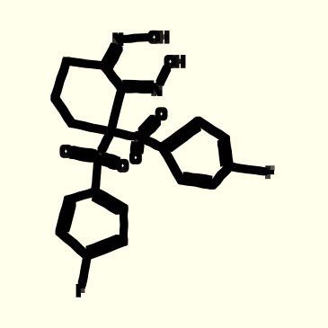 O=S(=O)(c1ccc(F)cc1)C1(S(=O)(=O)c2ccc(F)cc2)CCCC(=NO)C1=NO